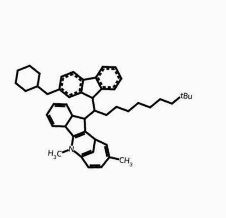 CC1=CC2C=C(C=C1)N(C)C1=C2C(C(CCCCCCCC(C)(C)C)C2c3ccccc3-c3ccc(CC4CCCCC4)cc32)C2C=CC=CC12